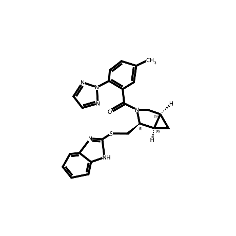 Cc1ccc(-n2nccn2)c(C(=O)N2C[C@H]3C[C@H]3[C@H]2CSc2nc3ccccc3[nH]2)c1